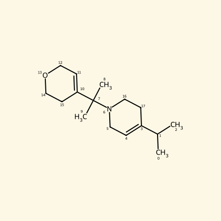 CC(C)C1=CCN(C(C)(C)C2=CCOCC2)CC1